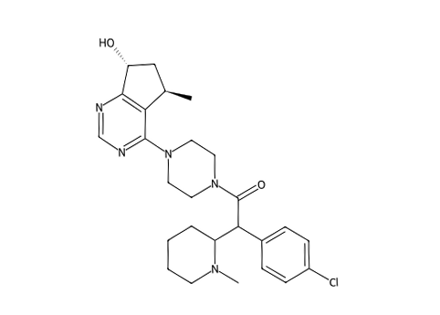 C[C@@H]1C[C@@H](O)c2ncnc(N3CCN(C(=O)C(c4ccc(Cl)cc4)C4CCCCN4C)CC3)c21